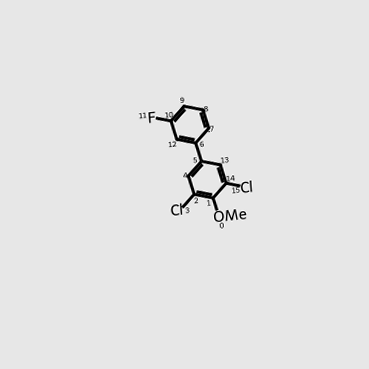 COc1c(Cl)cc(-c2[c]ccc(F)c2)cc1Cl